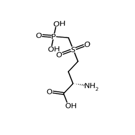 N[C@@H](CCS(=O)(=O)CP(=O)(O)O)C(=O)O